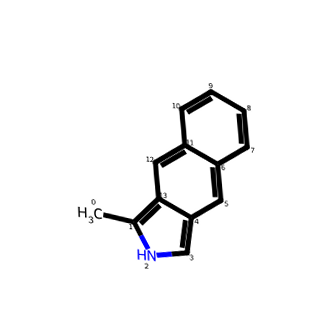 Cc1[nH]cc2cc3ccccc3cc12